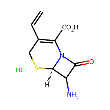 C=CC1=C(C(=O)O)N2C(=O)C(N)[C@H]2SC1.Cl